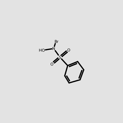 O=S(=O)(c1ccccc1)N(O)Br